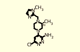 C[C@H]1CN(c2cc(Cl)nnc2N)CCN1Cc1nccn1C